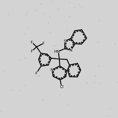 Fc1cc(C(F)(F)F)cc(C(Cc2ccccc2)(Nc2nc3ccccc3s2)c2ccc(Cl)cn2)c1